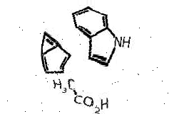 CC(=O)O.c1cc2cc-2c1.c1ccc2[nH]ccc2c1